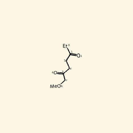 CCC(=O)CCC(=O)COC